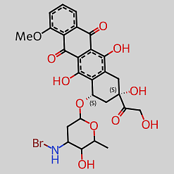 COc1cccc2c1C(=O)c1c(O)c3c(c(O)c1C2=O)C[C@@](O)(C(=O)CO)C[C@@H]3OC1CC(NBr)C(O)C(C)O1